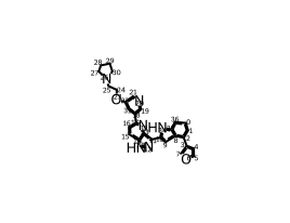 c1cc(-c2ccoc2)c2cc(-c3n[nH]c4ccc(-c5cncc(OCCN6CCCC6)c5)nc34)[nH]c2c1